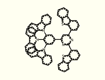 c1ccc2c(c1)sc1c(-c3cc(-c4cc(-n5c6ccccc6c6ccccc65)c(-n5c6ccccc6c6ccccc65)c(-n5c6ccccc6c6ccccc65)c4)nc(-c4cccc5c4sc4ccccc45)n3)cccc12